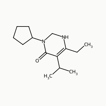 CCC1=C(C(C)C)C(=O)N(C2CCCC2)CN1